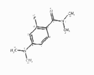 CN(C)C(=O)c1ccc(N(C)C)cc1F